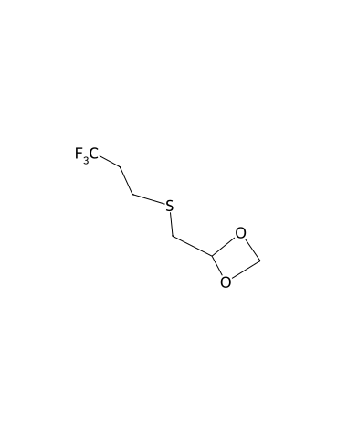 FC(F)(F)CCSCC1OCO1